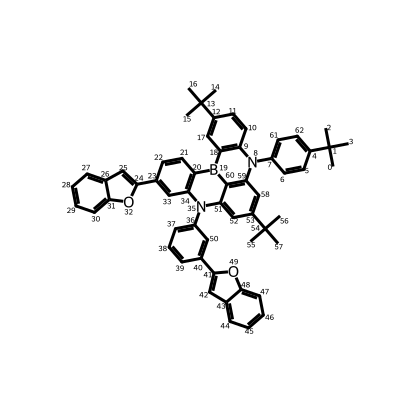 CC(C)(C)c1ccc(N2c3ccc(C(C)(C)C)cc3B3c4ccc(-c5cc6ccccc6o5)cc4N(c4cccc(-c5cc6ccccc6o5)c4)c4cc(C(C)(C)C)cc2c43)cc1